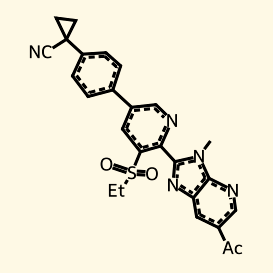 CCS(=O)(=O)c1cc(-c2ccc(C3(C#N)CC3)cc2)cnc1-c1nc2cc(C(C)=O)cnc2n1C